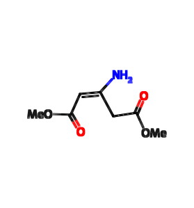 COC(=O)/C=C(/N)CC(=O)OC